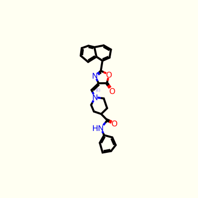 O=C1OC(c2cccc3ccccc23)=N/C1=C/N1CCC(C(=O)Nc2ccccc2)CC1